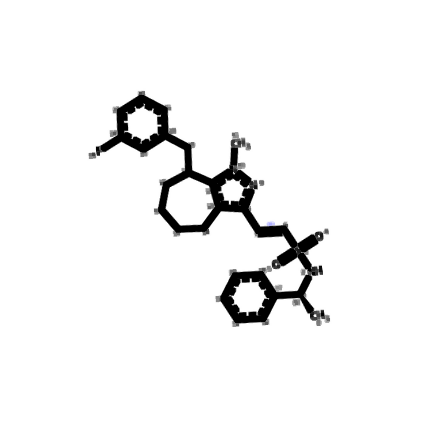 C[C@H](NS(=O)(=O)/C=C/c1nn(C)c2c1CCCCC2Cc1cccc(F)c1)c1ccccc1